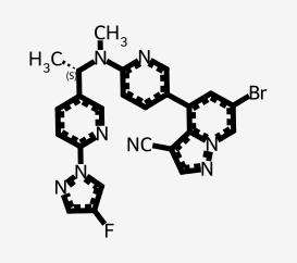 C[C@@H](c1ccc(-n2cc(F)cn2)nc1)N(C)c1ccc(-c2cc(Br)cn3ncc(C#N)c23)cn1